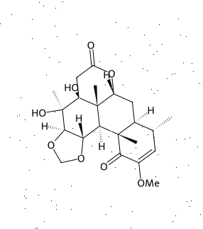 COC1=C[C@@H](C)[C@@H]2C[C@H]3OC(=O)C[C@]4(O)[C@@]3(C)[C@H]([C@@H]3OCO[C@H]3[C@@]4(C)O)[C@@]2(C)C1=O